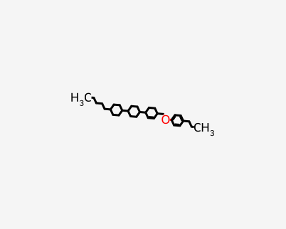 CCCCCC1CCC(C2CCC(C3C=CC(COc4ccc(CCC)cc4)CC3)CC2)CC1